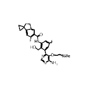 CNCCOc1c(N)ncnc1-c1cc(F)cc(NC(=O)c2cc3c(cc2F)C2(CC3)CC2)c1CO